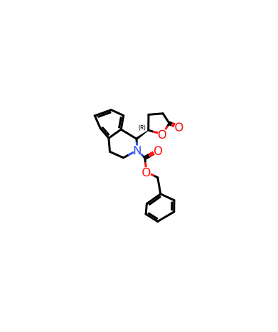 O=C1CC[C@H](C2c3ccccc3CCN2C(=O)OCc2ccccc2)O1